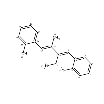 NCC(=Cc1ccccc1O)C(N)=Cc1ccccc1O